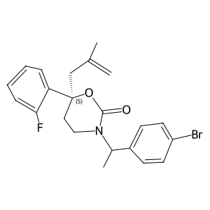 C=C(C)C[C@@]1(c2ccccc2F)CCN(C(C)c2ccc(Br)cc2)C(=O)O1